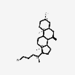 CC(C)CCC[C@H](C)C1CCC2C3C(=O)CC4C[C@@H](O)CC[C@]4(C)C3CC[C@@]21C